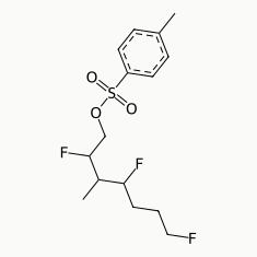 Cc1ccc(S(=O)(=O)OCC(F)C(C)C(F)CCCF)cc1